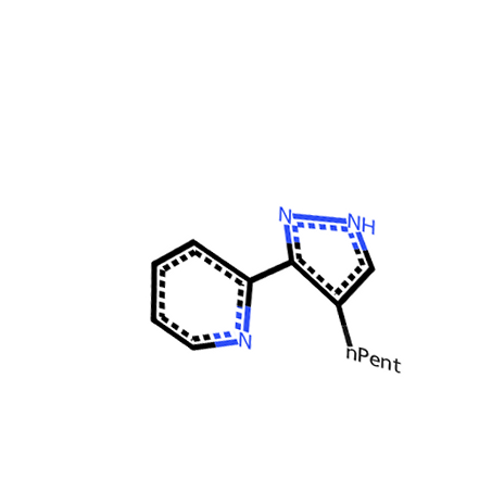 CCCCCc1c[nH]nc1-c1ccccn1